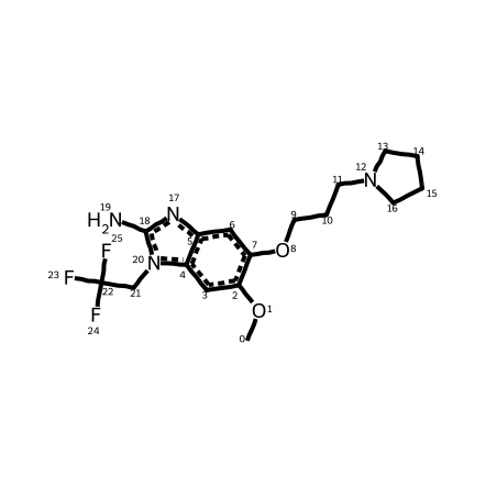 COc1cc2c(cc1OCCCN1CCCC1)nc(N)n2CC(F)(F)F